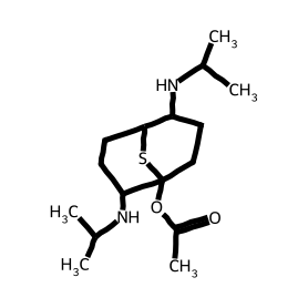 CC(=O)OC12CCC(NC(C)C)C(CCC1NC(C)C)S2